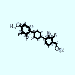 CCOCc1ccc(C2CCC(c3ccc(C)c(F)c3F)CC2)c(F)c1F